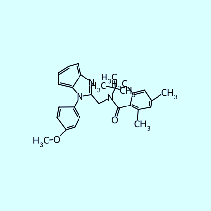 COc1ccc(-n2c(CN(C(=O)c3c(C)cc(C)cc3C)C(C)(C)C)nc3ccccc32)cc1